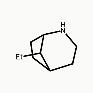 CCC1C2CCNC1CC2